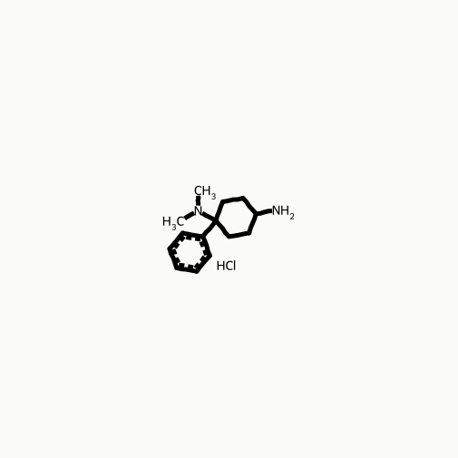 CN(C)C1(c2ccccc2)CCC(N)CC1.Cl